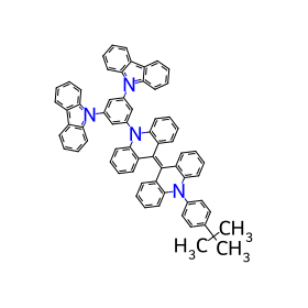 CC(C)(C)c1ccc(N2c3ccccc3C(=C3c4ccccc4N(c4cc(-n5c6ccccc6c6ccccc65)cc(-n5c6ccccc6c6ccccc65)c4)c4ccccc43)c3ccccc32)cc1